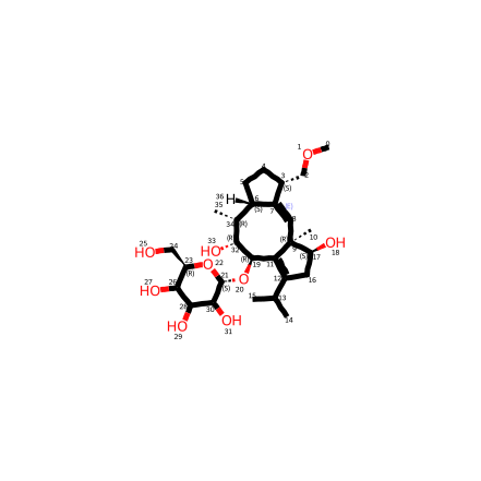 COC[C@H]1CC[C@@H]2/C1=C\[C@]1(C)C(=C(C(C)C)C[C@@H]1O)[C@@H](O[C@H]1O[C@H](CO)C(O)C(O)C1O)[C@H](O)[C@@H]2C